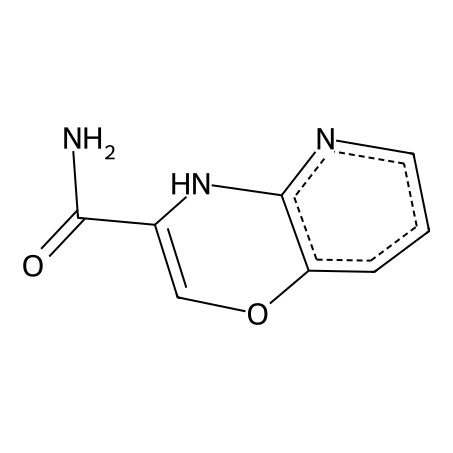 NC(=O)C1=COc2cccnc2N1